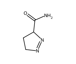 NC(=O)C1CCN=N1